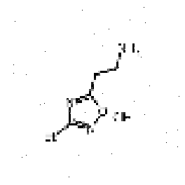 CCc1noc(CCN)n1.Cl